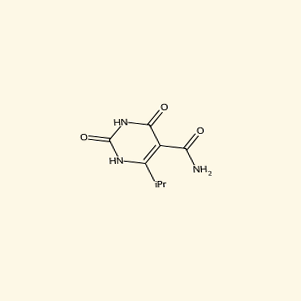 CC(C)c1[nH]c(=O)[nH]c(=O)c1C(N)=O